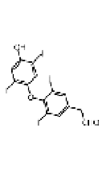 O=[C]Cc1cc(I)c(Oc2cc(I)c(O)cc2I)c(I)c1